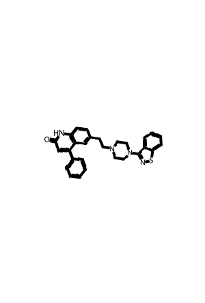 O=c1cc(-c2ccccc2)c2cc(CCN3CCN(c4nsc5ccccc45)CC3)ccc2[nH]1